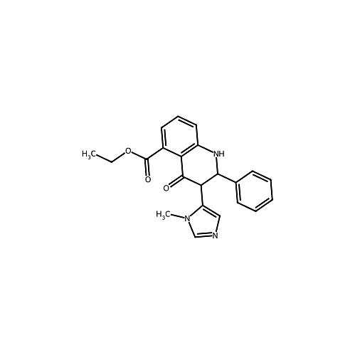 CCOC(=O)c1cccc2c1C(=O)C(c1cncn1C)C(c1ccccc1)N2